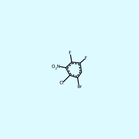 O=[N+]([O-])c1c(F)c(F)cc(Br)c1Cl